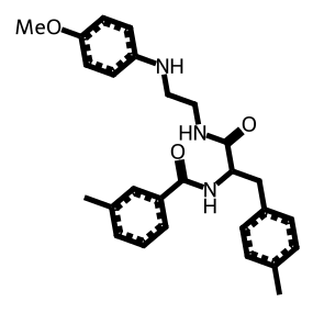 COc1ccc(NCCNC(=O)C(Cc2ccc(C)cc2)NC(=O)c2cccc(C)c2)cc1